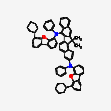 CC1(C)c2cc3ccccc3c(N(c3ccccc3)c3cccc4c3oc3c(C5CCCCC5)cccc34)c2-c2ccc3cc(N(c4ccccc4)c4cccc5c4oc4c(C6CCCCC6)cccc45)ccc3c21